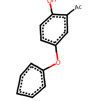 CC(=O)c1cc(Oc2ccccc2)ccc1O